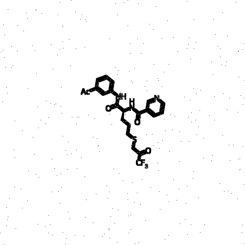 CC(=O)c1cccc(NC(=O)[C@H](CCCSCC(=O)C(F)(F)F)NC(=O)c2cccnc2)c1